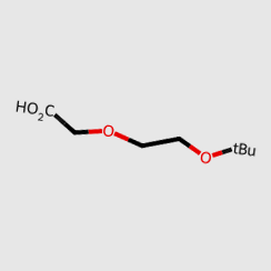 CC(C)(C)OCCOCC(=O)O